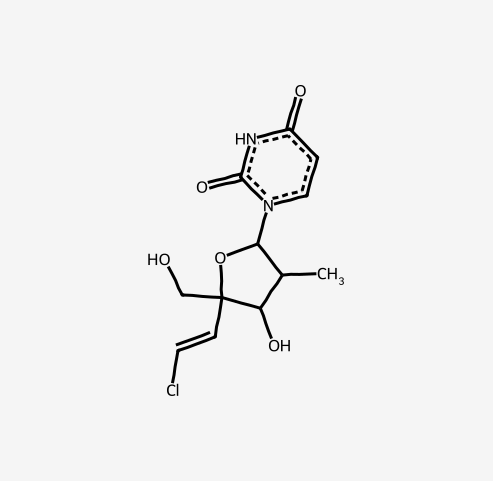 CC1C(n2ccc(=O)[nH]c2=O)OC(/C=C/Cl)(CO)C1O